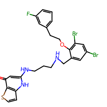 O=c1cc(NCCCNCc2cc(Br)cc(Br)c2OCCc2cccc(F)c2)[nH]c2ccsc12